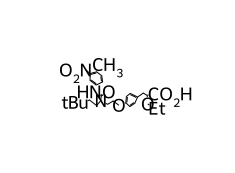 CCOC(Cc1ccc(OCCN(CCC(C)(C)C)C(=O)Nc2ccc(C)c([N+](=O)[O-])c2)cc1)C(=O)O